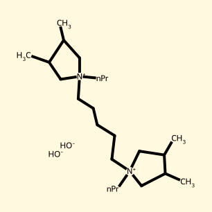 CCC[N+]1(CCCCC[N+]2(CCC)CC(C)C(C)C2)CC(C)C(C)C1.[OH-].[OH-]